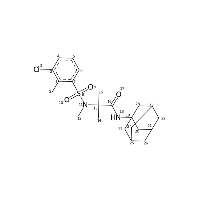 Cc1c(Cl)cccc1S(=O)(=O)N(C)C(C)(C)C(=O)NC12CC3CC(CC(C3)C1)C2